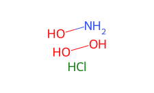 Cl.NO.OO